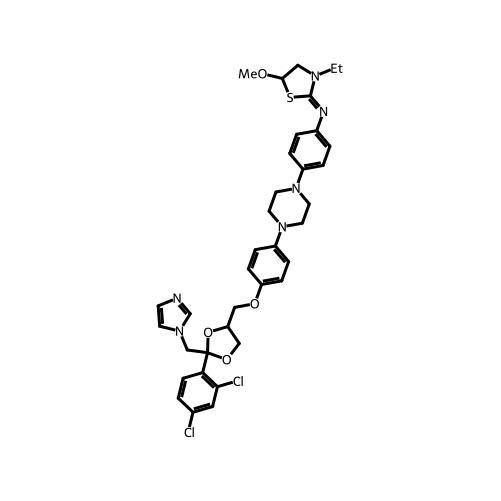 CCN1CC(OC)S/C1=N\c1ccc(N2CCN(c3ccc(OCC4COC(Cn5ccnc5)(c5ccc(Cl)cc5Cl)O4)cc3)CC2)cc1